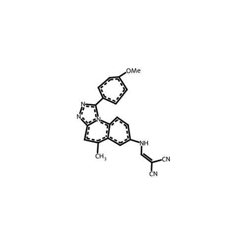 COc1ccc(-c2nnc3cc(C)c4cc(NC=C(C#N)C#N)ccc4n23)cc1